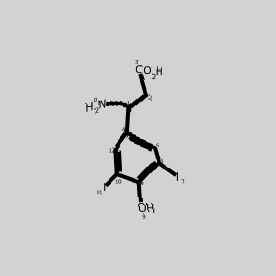 NC(CC(=O)O)c1cc(I)c(O)c(I)c1